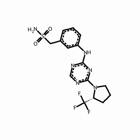 NS(=O)(=O)Cc1cccc(Nc2ncnc(N3CCC[C@@H]3C(F)(F)F)n2)c1